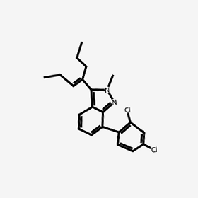 CCC=C(CCC)c1c2cccc(-c3ccc(Cl)cc3Cl)c2nn1C